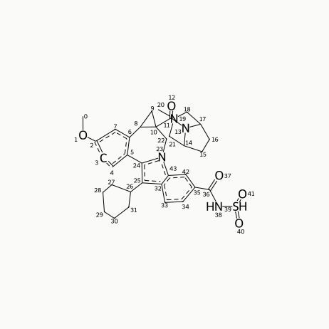 COc1ccc2c(c1)C1CC1(C(=O)N1C3CCC1CN(C)C3)Cn1c-2c(C2CCCCC2)c2ccc(C(=O)N[SH](=O)=O)cc21